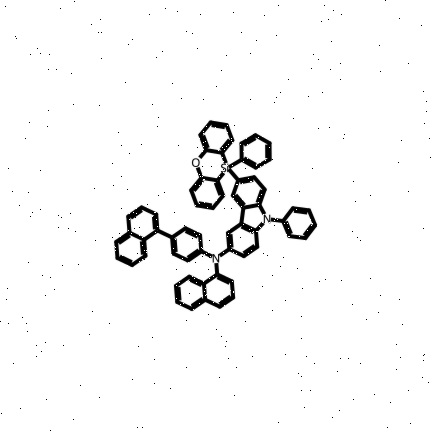 c1ccc(-n2c3ccc(N(c4ccc(-c5cccc6ccccc56)cc4)c4cccc5ccccc45)cc3c3cc([Si]4(c5ccccc5)c5ccccc5Oc5ccccc54)ccc32)cc1